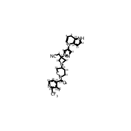 N#CCC1(n2cc(N3C=CCc4[nH]ccc43)cn2)CN(C2CCN(C(=O)c3ccnc(C(F)(F)F)c3F)CC2)C1